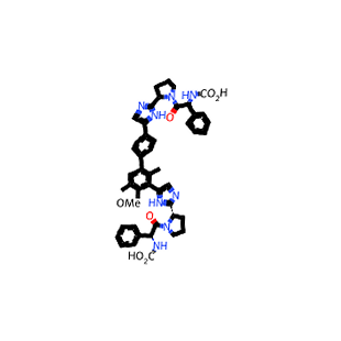 COc1c(C)cc(-c2ccc(-c3cnc(C4CCCN4C(=O)C(NC(=O)O)c4ccccc4)[nH]3)cc2)c(C)c1-c1cnc([C@@H]2CCCN2C(=O)[C@H](NC(=O)O)c2ccccc2)[nH]1